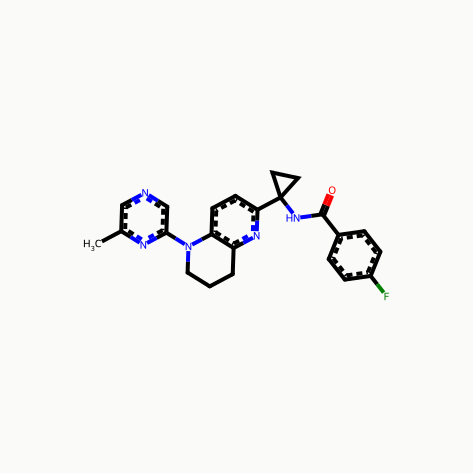 Cc1cncc(N2CCCc3nc(C4(NC(=O)c5ccc(F)cc5)CC4)ccc32)n1